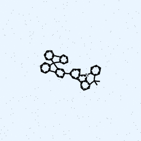 CC1(C)c2ccccc2-n2c3ccc(-c4ccc5c(c4)C4(c6ccccc6-c6ccccc64)c4ccccc4-5)cc3c3cccc1c32